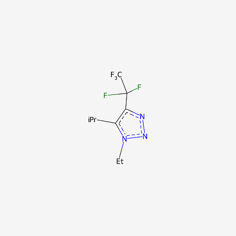 CCn1nnc(C(F)(F)C(F)(F)F)c1C(C)C